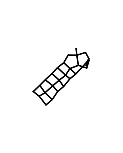 CC12CC3=CC1C14C(C2)C2C5C6C7CC8CC9C%10C%11C(C31)C24C5%11C6%10C879